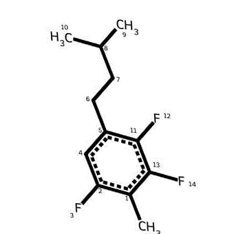 Cc1c(F)cc(CCC(C)C)c(F)c1F